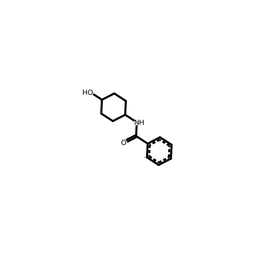 O=C(NC1CCC(O)CC1)c1[c]cccc1